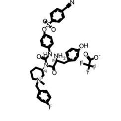 C[N+]1(Cc2ccc(F)cc2)CCC[C@H](N(C(=O)Nc2ccc(OS(=O)(=O)c3ccc(C#N)cc3)cc2)C(=O)[C@@H](N)Cc2ccc(O)cc2)C1.O=C([O-])C(F)(F)F